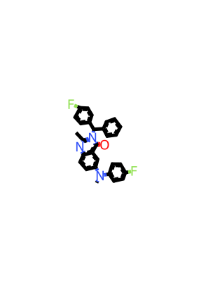 Cc1nc2ccc(N(C)c3ccc(F)cc3)cc2c(=O)n1C(c1ccccc1)c1ccc(F)cc1